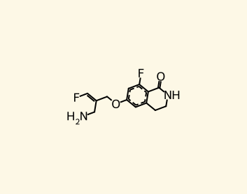 NC/C(=C\F)COc1cc(F)c2c(c1)CCNC2=O